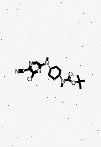 CN(C(=O)OC(C)(C)C)[C@H]1CC[C@H](N(C)c2cnc(C#N)c(Cl)n2)CC1